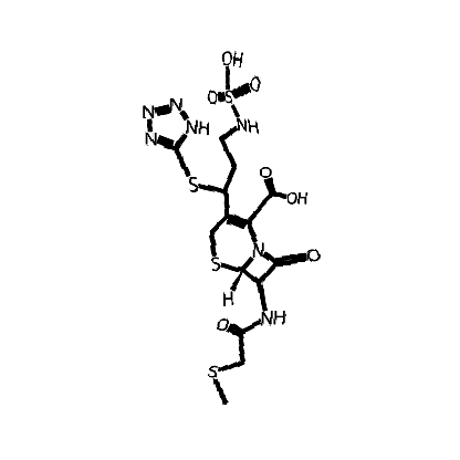 CSCC(=O)NC1C(=O)N2C(C(=O)O)=C(C(CCNS(=O)(=O)O)Sc3nnn[nH]3)CS[C@@H]12